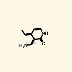 C/C=c1\cc[nH]c(=O)\c1=C\N